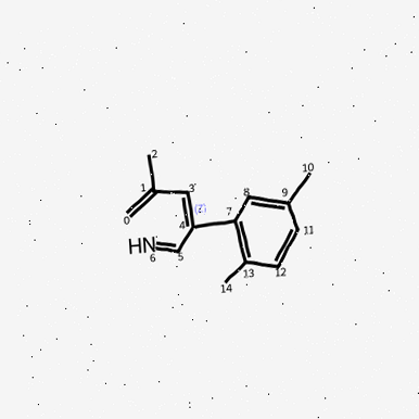 C=C(C)/C=C(\C=N)c1cc(C)ccc1C